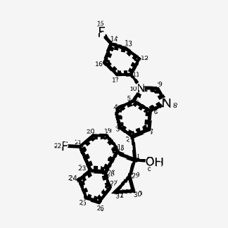 OC(c1ccc2c(c1)ncn2-c1ccc(F)cc1)(c1ccc(F)c2ccccc12)C1CC1